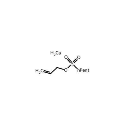 C=CCOS(=O)(=O)CCCCC.[CaH2]